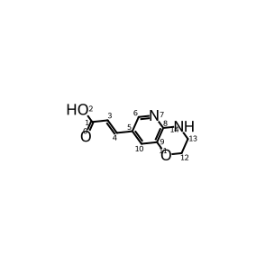 O=C(O)C=Cc1cnc2c(c1)OCCN2